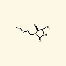 CNCCN1C(=O)NC(C)C1=O